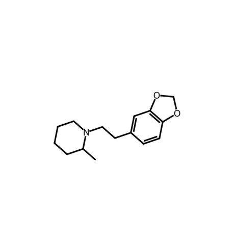 CC1CCCCN1CCc1ccc2c(c1)OCO2